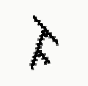 CCCCCCCCC(CCCCCCCC)OC(=O)CCCCCCCC(CCCCCCCC)OC(=O)CCCN(C)C